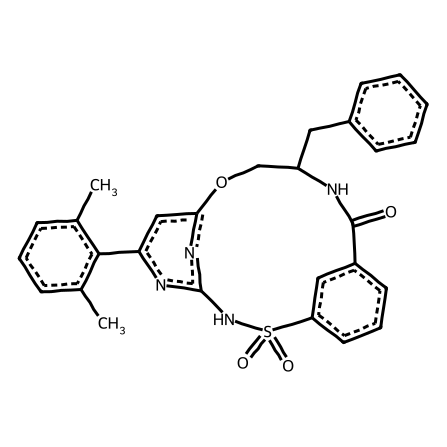 Cc1cccc(C)c1-c1cc2nc(n1)NS(=O)(=O)c1cccc(c1)C(=O)NC(Cc1ccccc1)CO2